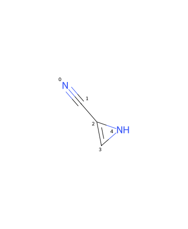 N#CC1=CN1